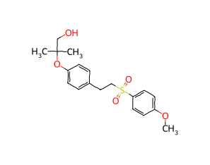 COc1ccc(S(=O)(=O)CCc2ccc(OC(C)(C)CO)cc2)cc1